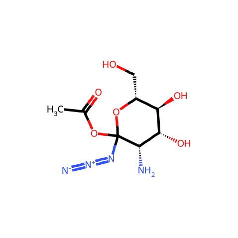 CC(=O)OC1(N=[N+]=[N-])O[C@H](CO)[C@@H](O)[C@H](O)[C@@H]1N